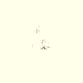 COc1cc(F)c(O[C@H]2CC[C@@](C)(c3n[nH]c(=O)o3)CC2)cc1C(=O)N[C@@H]1[C@H]2CC[C@H](C2)[C@@H]1C(=O)NCC1(C)CCC1